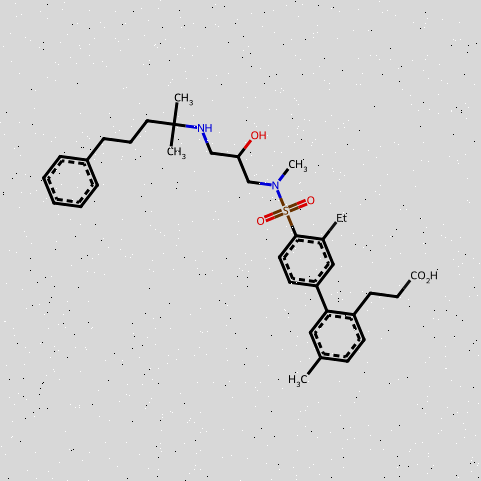 CCc1cc(-c2cc(C)ccc2CCC(=O)O)ccc1S(=O)(=O)N(C)CC(O)CNC(C)(C)CCCc1ccccc1